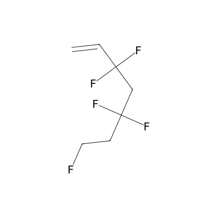 C=CC(F)(F)CC(F)(F)CCF